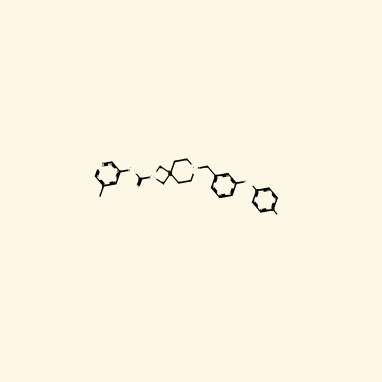 Cc1cncc(NC(=O)N2CC3(CCN(Cc4cccc(Oc5ccc(Cl)cc5)c4)CC3)C2)c1